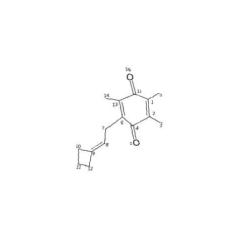 CC1=C(C)C(=O)C(CC=C2CCC2)=C(C)C1=O